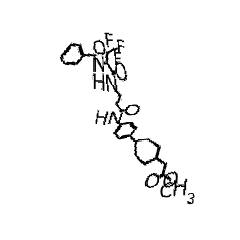 COC(=O)CC1CCC(c2ccc(NC(=O)CCNC(=O)c3nc(-c4ccccc4)oc3C(F)(F)F)cc2)CC1